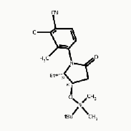 CC[C@H]1[C@H](O[Si](C)(C)C(C)(C)C)CC(=O)N1c1ccc(C#N)c(Cl)c1C